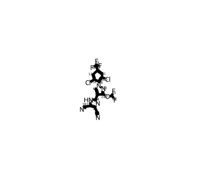 N#Cc1nc(-c2cn(-c3c(Cl)cc(C(F)(F)F)cc3Cl)nc2OC(F)F)[nH]c1C#N